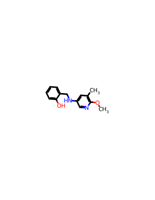 COc1ncc(NCc2ccccc2O)cc1C